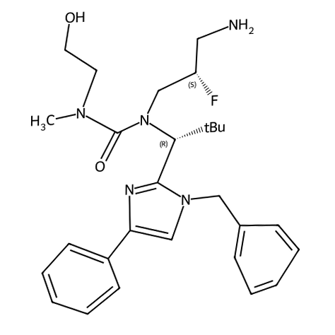 CN(CCO)C(=O)N(C[C@@H](F)CN)[C@@H](c1nc(-c2ccccc2)cn1Cc1ccccc1)C(C)(C)C